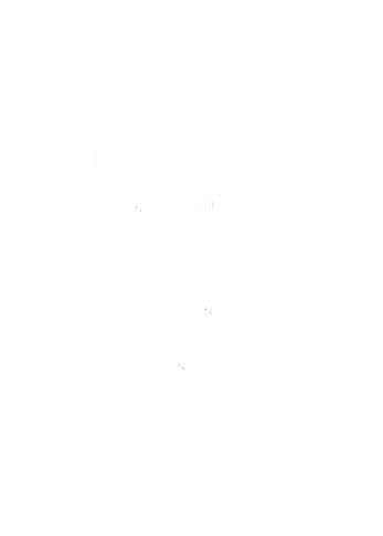 CC(=N[S+]([O-])C(C)(C)C)c1cc2cccnc2nc1-c1ccccc1